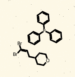 BrC(Br)=CCC1CCOCC1.c1ccc(P(c2ccccc2)c2ccccc2)cc1